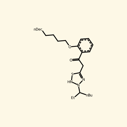 CCCCCCCCCCCCCCOc1ccccc1C(=O)CC1=NN(C(CC)CCCC)NS1